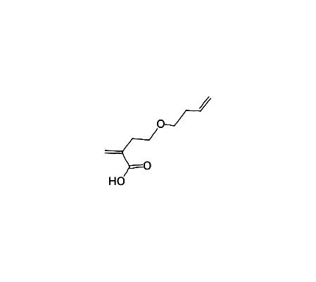 C=CCCOCCC(=C)C(=O)O